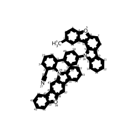 Cc1ccc2oc3ccc4c5ccccc5n(-c5ccc(-c6cccc(C#N)c6-n6c7ccccc7c7cc8oc9ccccc9c8cc76)cc5)c4c3c2c1